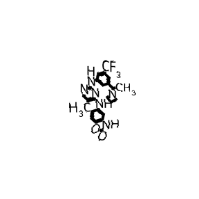 Cc1cnc(Nc2cc(C(C)N3CCC3)cc(C(F)(F)F)c2)nc1Nc1ccc2oc(=O)[nH]c2c1